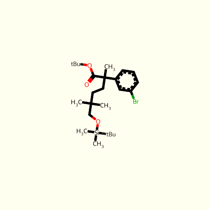 CC(C)(CCC(C)(C(=O)OC(C)(C)C)c1cccc(Br)c1)CO[Si](C)(C)C(C)(C)C